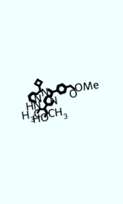 COC(=O)Cc1ccc(-c2cn(C(c3ccccn3)C3CCC3)c3cc(/C(C(C)=N)=C(\C)O)cnc23)cc1